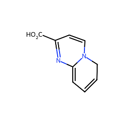 O=C(O)C1=NC2=CC=CCN2C=C1